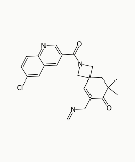 C=NCC1=CC2(CN(C(=O)c3cnc4ccc(Cl)cc4c3)C2)CC(C)(C)C1=O